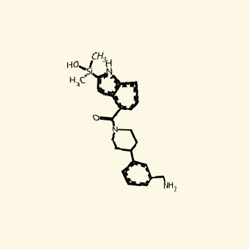 C[Si](C)(O)c1cc2c(C(=O)N3CCC(c4cccc(CN)c4)CC3)cccc2[nH]1